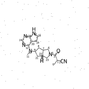 CC(C#N)C(=O)N1CC2CC(N(C)c3ncnc4[nH]ccc34)C[C@H]2C1